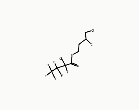 O=C(OCCC(Cl)CCl)C(F)(Cl)C(F)(F)C(F)(F)Cl